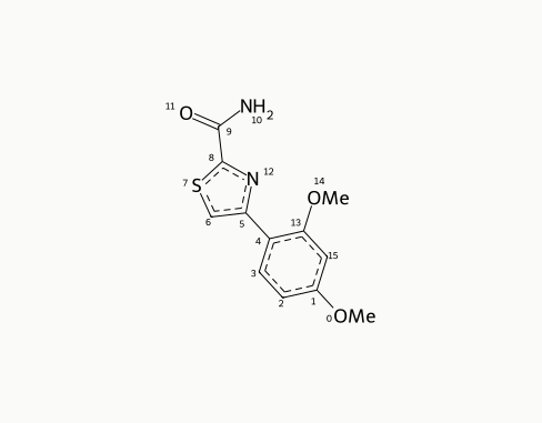 COc1ccc(-c2csc(C(N)=O)n2)c(OC)c1